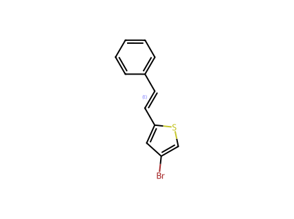 Brc1csc(/C=C/c2ccccc2)c1